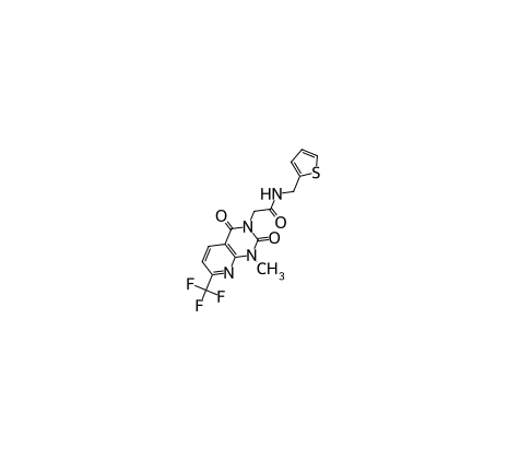 Cn1c(=O)n(CC(=O)NCc2cccs2)c(=O)c2ccc(C(F)(F)F)nc21